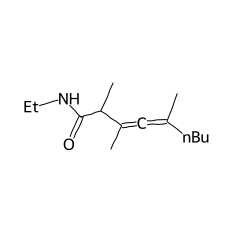 CCCCC(C)=C=C(C)C(C)C(=O)NCC